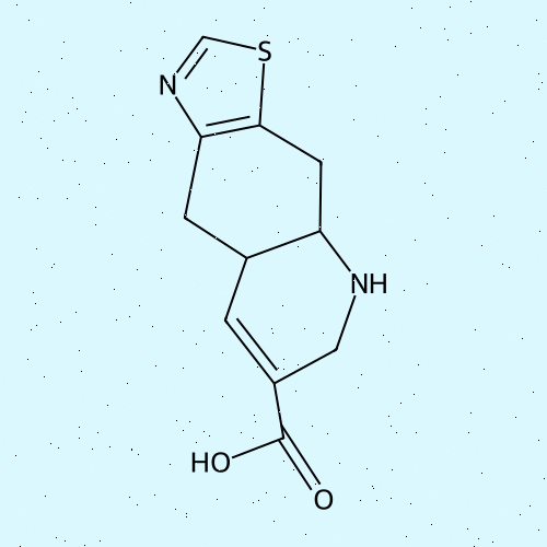 O=C(O)C1=CC2Cc3ncsc3CC2NC1